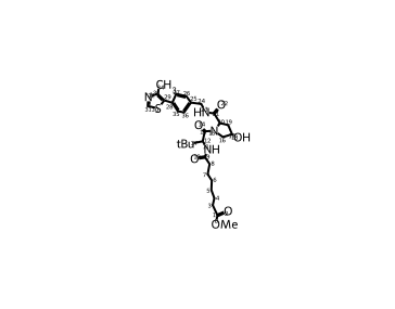 COC(=O)CCCCCCC(=O)NC(C(=O)N1C[C@H](O)CC1C(=O)NCc1ccc(-c2scnc2C)cc1)C(C)(C)C